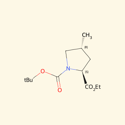 CCOC(=O)[C@@H]1C[C@@H](C)CN1C(=O)OC(C)(C)C